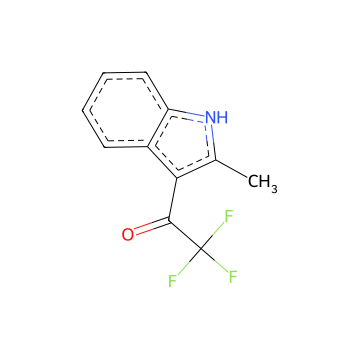 Cc1[nH]c2ccccc2c1C(=O)C(F)(F)F